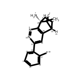 CC1(C)[C@@H]2CC[C@]1(N)c1nnc(-c3ccccc3F)cc12